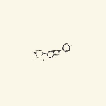 CCC[C@H]1C(=O)NN=C(c2ccc3nc(-c4ccc(Cl)cc4)oc3c2)[C@@H]1C